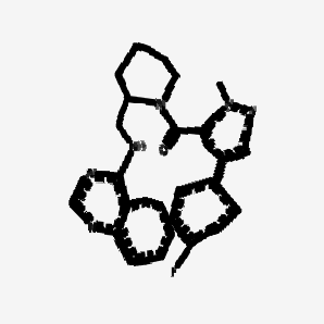 Cn1ncc(-c2ccc(F)cc2)c1C(=O)N1CCCCC1CNc1ncnc2ccccc12